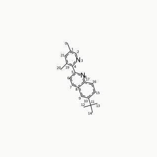 Cc1cnc(-c2ccc3cc(C(C)(C)C)ccc3n2)c(C)c1